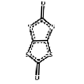 O=c1sc2sc(=O)sc2s1